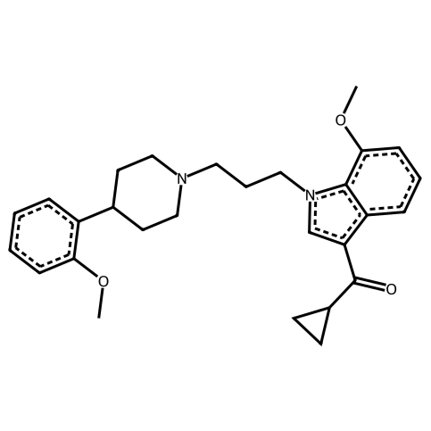 COc1ccccc1C1CCN(CCCn2cc(C(=O)C3CC3)c3cccc(OC)c32)CC1